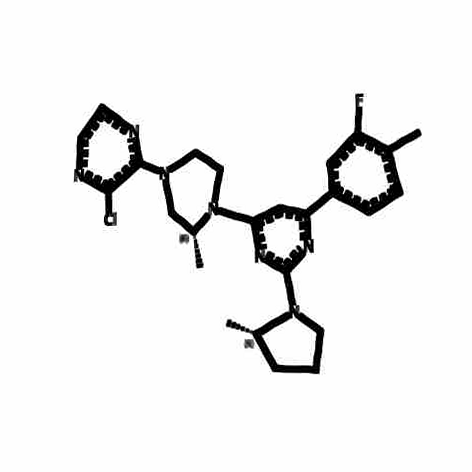 Cc1ccc(-c2cc(N3CCN(c4nccnc4Cl)C[C@H]3C)nc(N3CCC[C@@H]3C)n2)cc1F